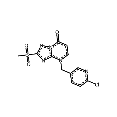 CS(=O)(=O)c1nc2n(Cc3ccc(Cl)nc3)ccc(=O)n2n1